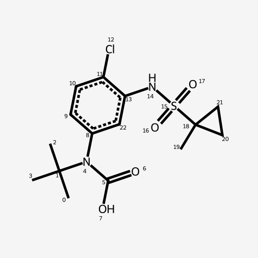 CC(C)(C)N(C(=O)O)c1ccc(Cl)c(NS(=O)(=O)C2(C)CC2)c1